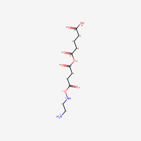 NCCNOC(=O)CCC(=O)OC(=O)CCCC(=O)O